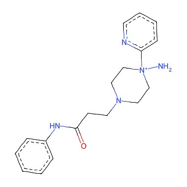 N[N+]1(c2ccccn2)CCN(CCC(=O)Nc2ccccc2)CC1